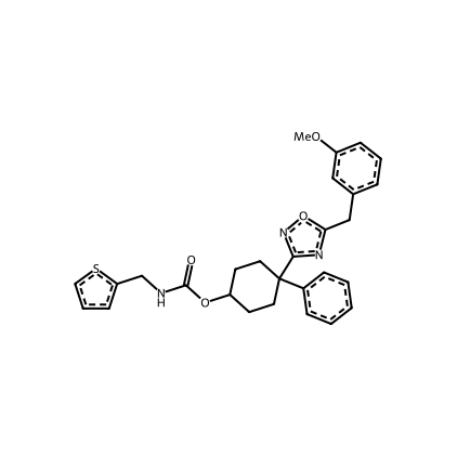 COc1cccc(Cc2nc(C3(c4ccccc4)CCC(OC(=O)NCc4cccs4)CC3)no2)c1